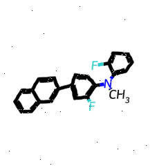 CN(c1ccccc1F)c1ccc(-c2ccc3ccccc3c2)cc1F